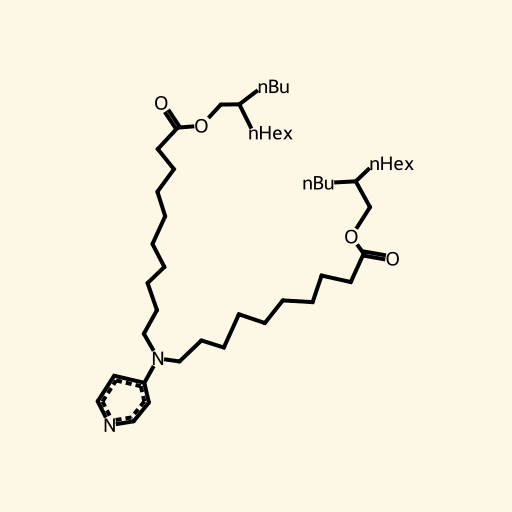 CCCCCCC(CCCC)COC(=O)CCCCCCCCCN(CCCCCCCCCC(=O)OCC(CCCC)CCCCCC)c1ccncc1